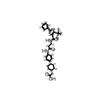 O=C(O)C[C@H]1CC[C@H](c2ccc(NC(=O)CCNC(=O)c3sc(-c4ccccc4)nc3C(F)(F)F)cc2)CC1